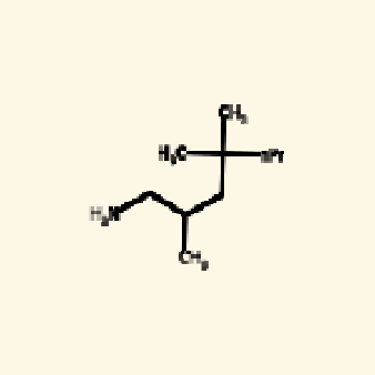 CCCC(C)(C)CC(C)CN